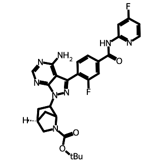 CC(C)(C)OC(=O)N1C[C@@H]2CC1C(n1nc(-c3ccc(C(=O)Nc4cc(F)ccn4)cc3F)c3c(N)ncnc31)C2